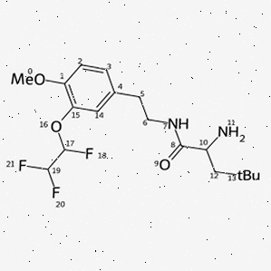 COc1ccc(CCNC(=O)C(N)CC(C)(C)C)cc1OC(F)C(F)F